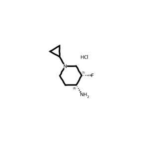 Cl.N[C@@H]1CCN(C2CC2)C[C@@H]1F